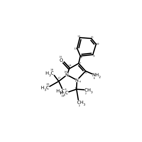 CC(C)(C)n1c(N)c(-c2ccccc2)c(=O)n1C(C)(C)C